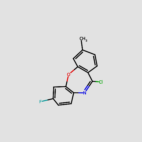 Cc1ccc2c(c1)Oc1cc(F)ccc1N=C2Cl